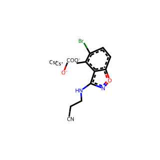 Cc1c(Br)ccc2onc(NCCC#N)c12.O=C([O-])[O-].[Cs+].[Cs+]